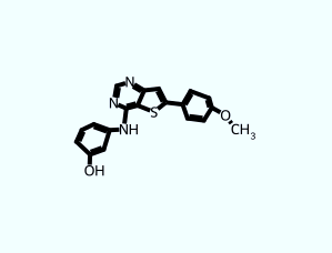 COc1ccc(-c2cc3ncnc(Nc4cccc(O)c4)c3s2)cc1